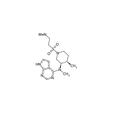 CNCCS(=O)(=O)N1CC[C@@H](C)[C@@H](N(C)c2ncnc3[nH]ccc23)C1